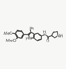 COc1ccc(-c2[nH]c3ccc(NC(=O)C4CCNC4)cc3c2C(C)C)cc1OC